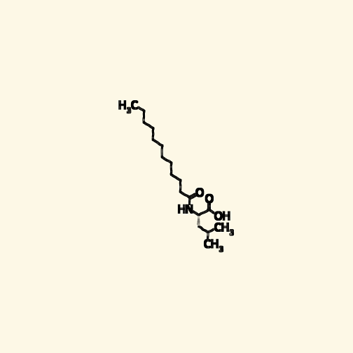 CCCCCCCCCCCC(=O)N[C@@H](CC(C)C)C(=O)O